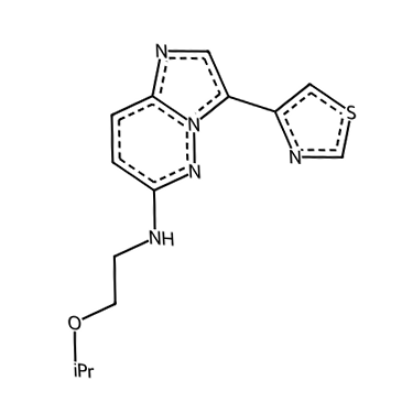 CC(C)OCCNc1ccc2ncc(-c3cscn3)n2n1